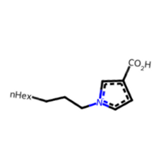 CCCCCCCCCn1ccc(C(=O)O)c1